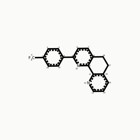 FC(F)(F)c1ccc(-c2ccc3c(n2)-c2ncccc2CC3)cc1